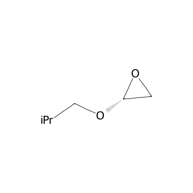 CC(C)CO[C@H]1CO1